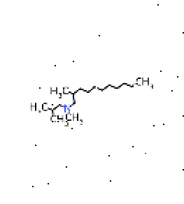 CCCCCCCCCC(C)CN(C)CC(C)C